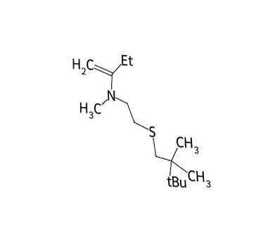 C=C(CC)N(C)CCSCC(C)(C)C(C)(C)C